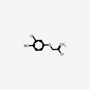 C=C(CC)COc1ccc(C#N)c(Cl)c1